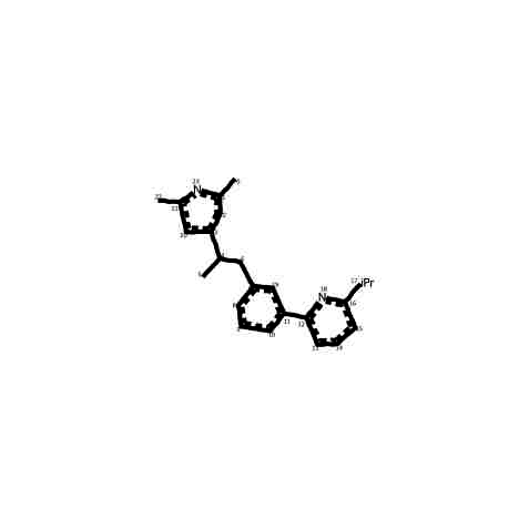 Cc1cc(C(C)Cc2cccc(-c3cccc(C(C)C)n3)c2)cc(C)n1